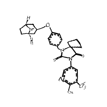 CN1[C@@H]2CC[C@H]1CC(Oc1ccc(N3C(=S)N(c4cnc(C#N)c(C(F)(F)F)c4)C(=O)C34CCC4)cc1)C2